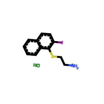 Cl.NCCSc1c(I)ccc2ccccc12